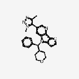 Cc1nnn(C)c1-c1cnc2c3occc3n(C(c3ccccc3)C3CCOCC3)c2c1